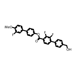 COc1ccc(-c2ccc(OC(=O)c3ccc(-c4ccc(CO)cc4)c(F)c3F)cc2)cc1F